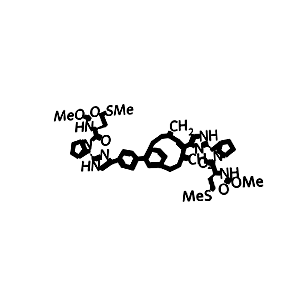 C=C1/C=C(/c2c[nH]c([C@@H]3C4CCC(C4)N3C(=O)[C@H](CCSC)NC(=O)OC)n2)C(=C)CCc2ccc(c(-c3ccc(-c4c[nH]c([C@@H]5C6CCC(C6)N5C(=O)[C@H](CCSC)NC(=O)OC)n4)cc3)c2)CC1